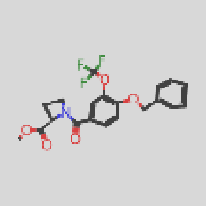 COC(=O)[C@H]1CCN1C(=O)c1ccc(OCc2ccccc2)c(OC(F)(F)F)c1